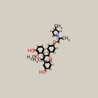 COc1c(O)cccc1C1=C(C)c2cc(O)ccc2OC1c1ccc(OCC(C)N2CCC(C)C2)cc1